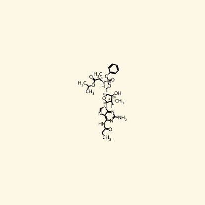 CCC(=O)Nc1nc(N)nc2c1ncn2[C@@H]1O[C@H](CO[P@](=O)(N[C@@H](C)C(=O)OC(C)C)Oc2ccccc2)[C@@H](O)[C@@]1(C)F